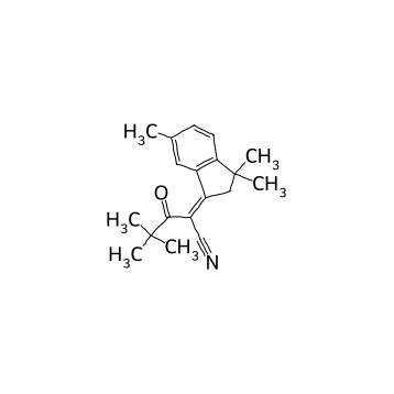 Cc1ccc2c(c1)C(=C(C#N)C(=O)C(C)(C)C)CC2(C)C